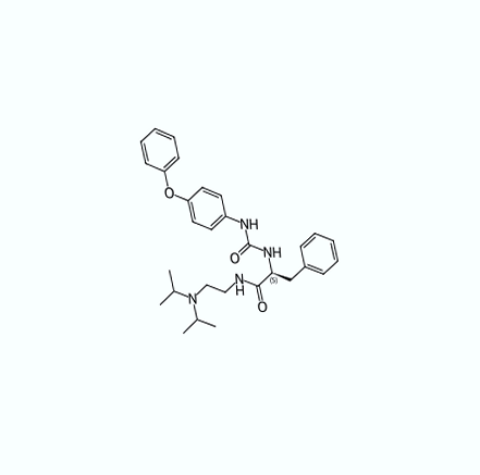 CC(C)N(CCNC(=O)[C@H](Cc1ccccc1)NC(=O)Nc1ccc(Oc2ccccc2)cc1)C(C)C